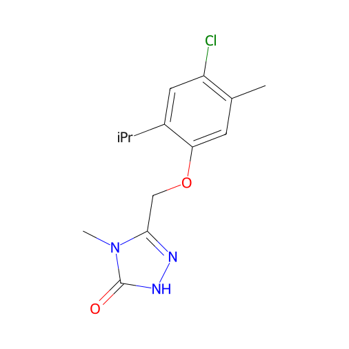 Cc1cc(OCc2n[nH]c(=O)n2C)c(C(C)C)cc1Cl